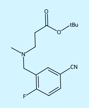 CN(CCC(=O)OC(C)(C)C)Cc1cc(C#N)ccc1F